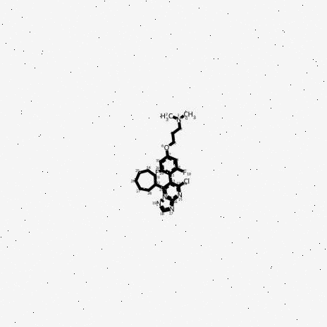 CN(C)CCCOc1cc(F)c(-c2c(Cl)nc3ncnn3c2C2CCCCCC2)c(F)c1